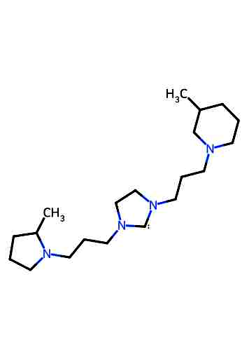 CC1CCCN(CCCN2[C]N(CCCN3CCCC3C)CC2)C1